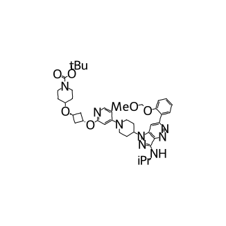 COCOc1ccccc1-c1cc2c(nn1)c(NC(C)C)nn2C1CCN(c2ccnc(O[C@H]3C[C@H](OC4CCN(C(=O)OC(C)(C)C)CC4)C3)c2)CC1